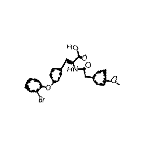 COc1ccc(CC(=O)N/C(=C\c2ccc(Oc3ccccc3Br)cc2)C(=O)O)cc1